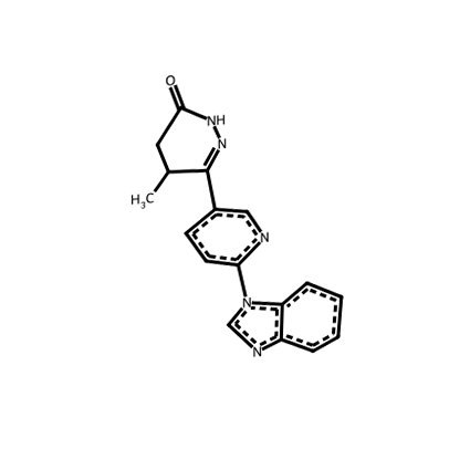 CC1CC(=O)NN=C1c1ccc(-n2cnc3ccccc32)nc1